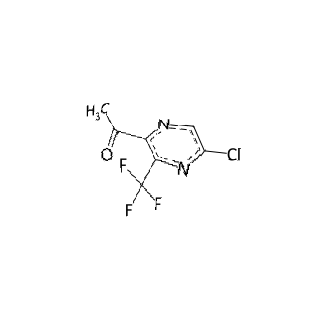 CC(=O)c1ncc(Cl)nc1C(F)(F)F